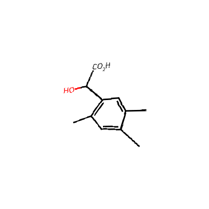 Cc1cc(C)c(C(O)C(=O)O)cc1C